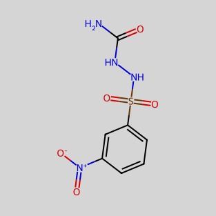 NC(=O)NNS(=O)(=O)c1cccc([N+](=O)[O-])c1